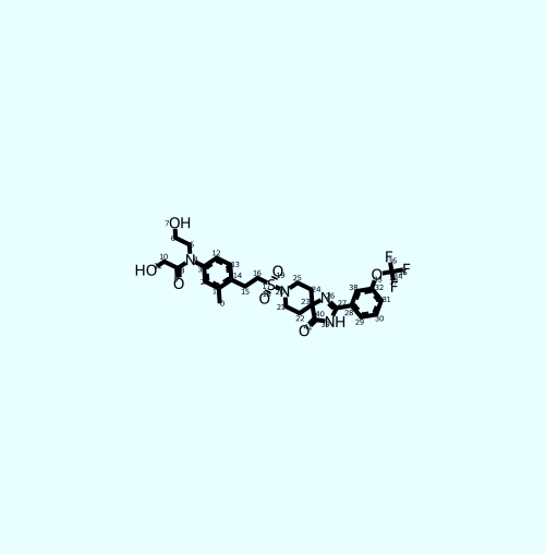 Cc1cc(N(CCO)C(=O)CO)ccc1CCS(=O)(=O)N1CCC2(CC1)N=C(c1cccc(OC(F)(F)F)c1)NC2=O